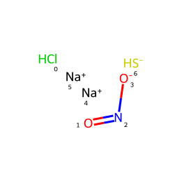 Cl.O=N[O-].[Na+].[Na+].[SH-]